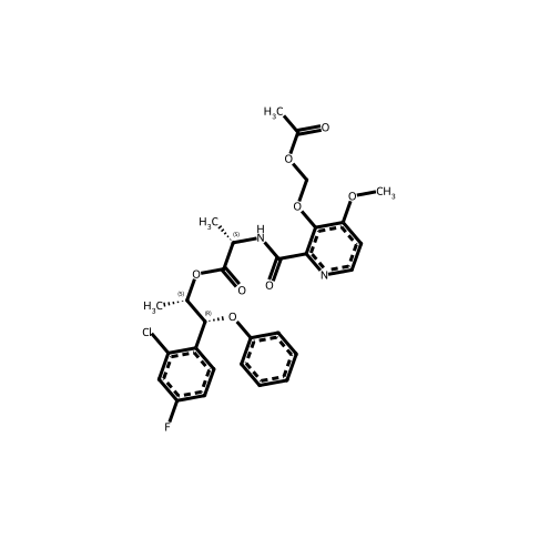 COc1ccnc(C(=O)N[C@@H](C)C(=O)O[C@@H](C)[C@H](Oc2ccccc2)c2ccc(F)cc2Cl)c1OCOC(C)=O